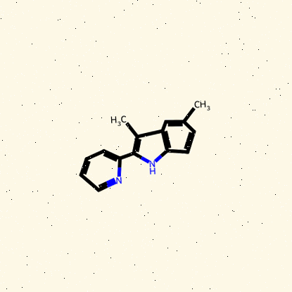 Cc1ccc2[nH]c(-c3ccccn3)c(C)c2c1